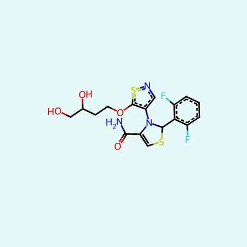 NC(=O)C1=CSC(c2c(F)cccc2F)N1c1cnsc1OCCC(O)CO